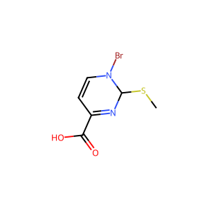 CSC1N=C(C(=O)O)C=CN1Br